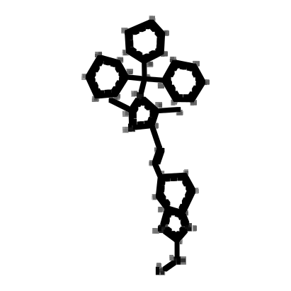 CCNc1nc2ccc(C=Cc3nc(C)n(C(c4ccccc4)(c4ccccc4)c4ccccc4)c3C)cc2o1